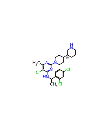 Cc1nc(N2CCC([C@@H]3CCCNC3)CC2)nc(NC(C)c2ccc(Cl)cc2Cl)c1Cl